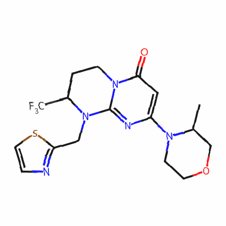 CC1COCCN1c1cc(=O)n2c(n1)N(Cc1nccs1)C(C(F)(F)F)CC2